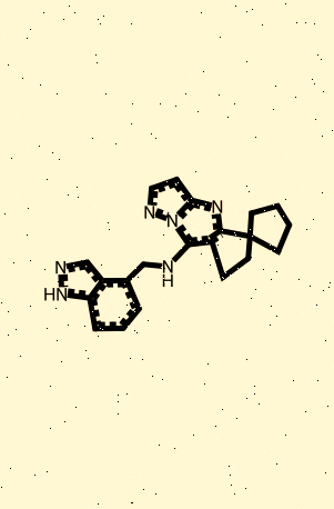 c1cc(CNc2c3c(nc4ccnn24)C2(CCCC2)CC3)c2cn[nH]c2c1